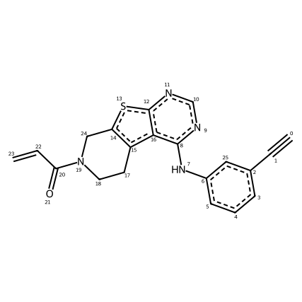 C#Cc1cccc(Nc2ncnc3sc4c(c23)CCN(C(=O)C=C)C4)c1